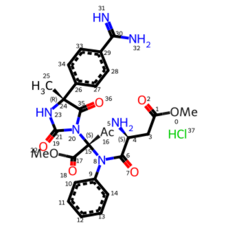 COC(=O)C[C@H](N)C(=O)N(c1ccccc1)[C@](C(C)=O)(C(=O)OC)N1C(=O)N[C@](C)(c2ccc(C(=N)N)cc2)C1=O.Cl